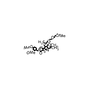 COCCOCCOCCN(C)Cc1c2c(nc3sc4c(=O)n(Cc5ccc(OC)cc5OC)cnc4c13)CC(C)(C)OC2